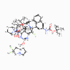 CC1Oc2nc(-c3cc(NC(=O)OC(C)(C)C)cc4cccc(C#C[Si](C(C)C)(C(C)C)C(C)C)c34)c(F)c3nc(OC[C@]45CCCN4CC(F)(F)C5)nc(c23)N2CC3CCC(C12)N3C(=O)O